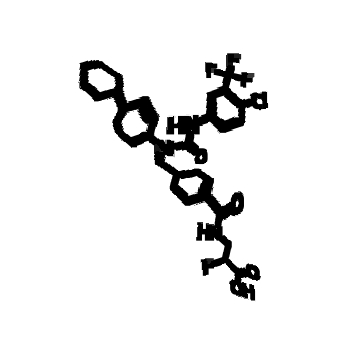 O=C(NCC(F)C(=O)O)c1ccc(CN(C(=O)Nc2ccc(Cl)c(C(F)(F)F)c2)c2ccc(C3CCCCC3)cc2)cc1